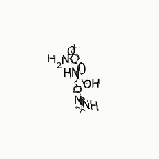 CC(C)Oc1ccc(C(=O)N[C@H](CCO)Cc2ccc(-c3c[nH]c(C(C)(C)C)n3)cc2)cc1N